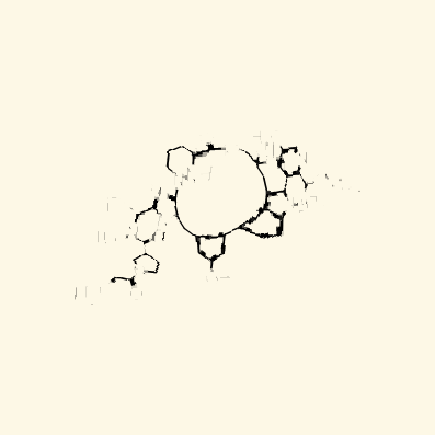 C=CC(=O)N1CC[C@H](C(=O)N(C)[C@H](C(=O)N[C@H]2Cc3cc(O)cc(c3)-c3ccc4c(c3)c(c(-c3cc(C)cnc3[C@H](C)OC)n4CC)CC(C)(C)COC(=O)[C@@]3(O)CCCN(N3)C2=O)C(C)C)C1